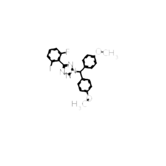 COc1ccc(C(c2ccc(OC)cc2)n2nnc(-c3c(F)cccc3I)n2)cc1